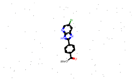 COC(=O)c1ccc(-c2nc3cc(Br)cnc3[nH]2)cc1